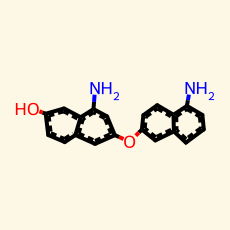 Nc1cccc2cc(Oc3cc(N)c4cc(O)ccc4c3)ccc12